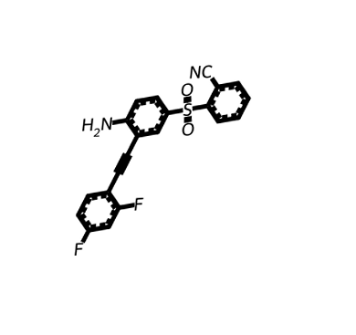 N#Cc1ccccc1S(=O)(=O)c1ccc(N)c(C#Cc2ccc(F)cc2F)c1